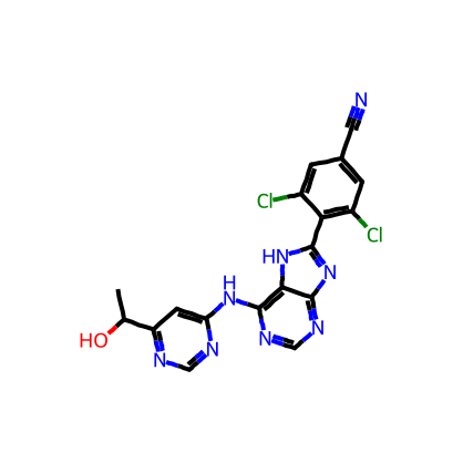 CC(O)c1cc(Nc2ncnc3nc(-c4c(Cl)cc(C#N)cc4Cl)[nH]c23)ncn1